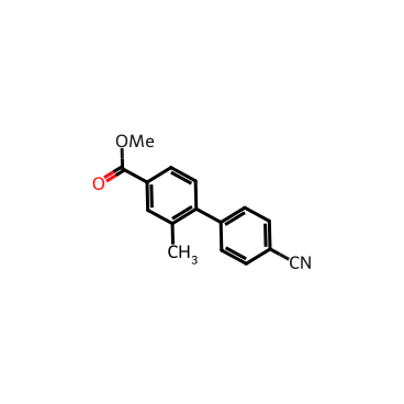 COC(=O)c1ccc(-c2ccc(C#N)cc2)c(C)c1